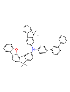 CC1(C)c2ccccc2-c2ccc(N(c3ccc(-c4cccc(-c5ccccc5)c4)cc3)c3ccc4c(c3)-c3c(ccc5c3oc3ccccc35)C4(C)C)cc21